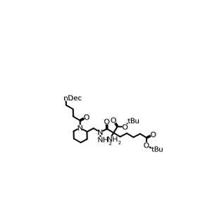 CCCCCCCCCCCCCC(=O)N1CCCCC1CN(N)C(=O)C(N)(CCCCC(=O)OC(C)(C)C)C(=O)OC(C)(C)C